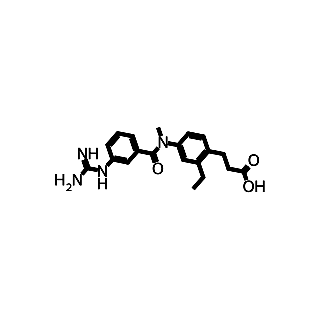 CCc1cc(N(C)C(=O)c2cccc(NC(=N)N)c2)ccc1CCC(=O)O